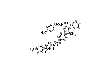 Cc1ccc(S(=O)(=O)O)cc1.Cc1nn(-c2ccc(CCNC(=O)NS(=O)(=O)c3ccc(C(F)(F)F)cc3)cc2)c(C)c1-c1ccccc1